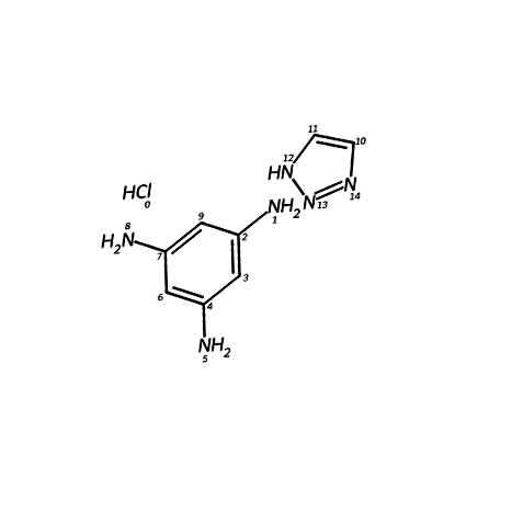 Cl.Nc1cc(N)cc(N)c1.c1c[nH]nn1